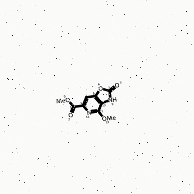 COC(=O)c1cc2oc(=O)[nH]c2c(OC)n1